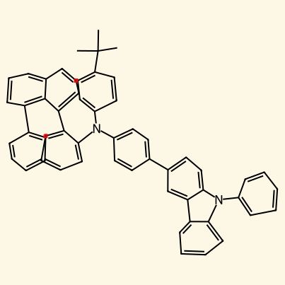 CC(C)(C)c1ccc(N(c2ccc(-c3ccc4c(c3)c3ccccc3n4-c3ccccc3)cc2)c2ccccc2-c2cccc3cccc(-c4ccccc4)c23)cc1